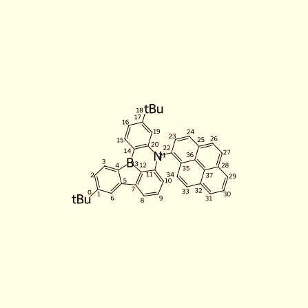 CC(C)(C)c1ccc2c(c1)-c1cccc3c1B2c1ccc(C(C)(C)C)cc1N3c1ccc2ccc3cccc4ccc1c2c34